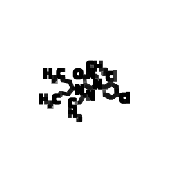 C=CCC(CC=C)n1c(CC)nc2c1C(=O)N(C)CN2c1ccc(Cl)cc1Cl